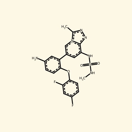 CNS(=O)(=O)Nc1cc(-c2cc(N)ccc2Oc2ccc(F)cc2F)cn2c(C)nnc12